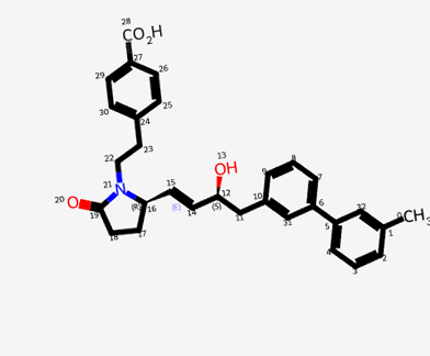 Cc1cccc(-c2cccc(C[C@H](O)/C=C/[C@H]3CCC(=O)N3CCc3ccc(C(=O)O)cc3)c2)c1